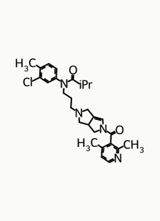 Cc1ccc(N(CCCN2CC3=CN(C(=O)c4c(C)ccnc4C)CC3C2)C(=O)C(C)C)cc1Cl